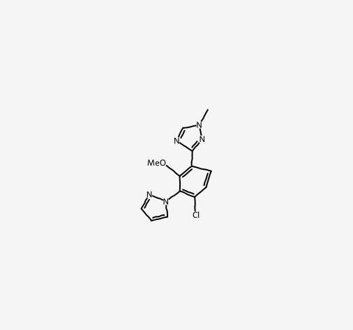 COc1c(-c2ncn(C)n2)ccc(Cl)c1-n1cccn1